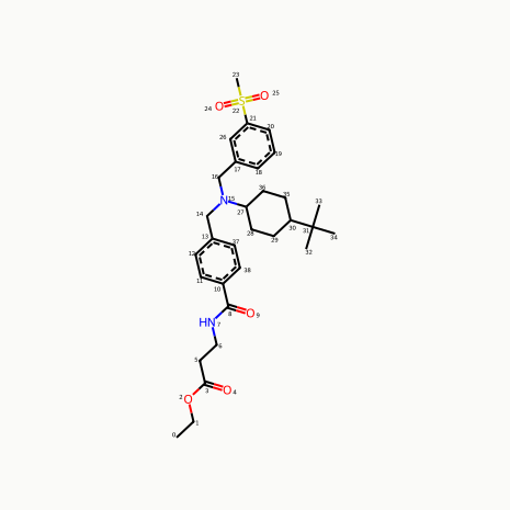 CCOC(=O)CCNC(=O)c1ccc(CN(Cc2cccc(S(C)(=O)=O)c2)C2CCC(C(C)(C)C)CC2)cc1